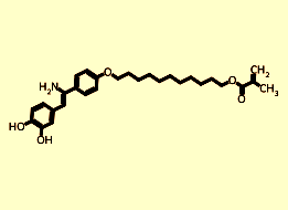 C=C(C)C(=O)OCCCCCCCCCCCOc1ccc(/C(N)=C/c2ccc(O)c(O)c2)cc1